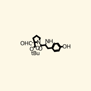 CC(C)(C)OC(=O)[C@@]1(C=O)CCCN1C(=O)[C@@H](N)Cc1ccc(O)cc1